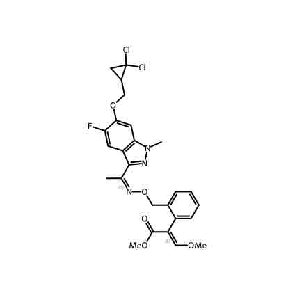 CO/C=C(/C(=O)OC)c1ccccc1CO/N=C(/C)c1nn(C)c2cc(OCC3CC3(Cl)Cl)c(F)cc12